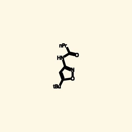 CCCC(=O)Nc1cc(C(C)(C)C)on1